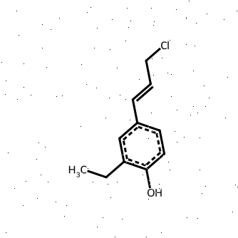 CCc1cc(C=CCCl)ccc1O